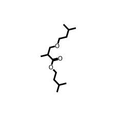 CC(C)CCOCC(C)C(=O)OCCC(C)C